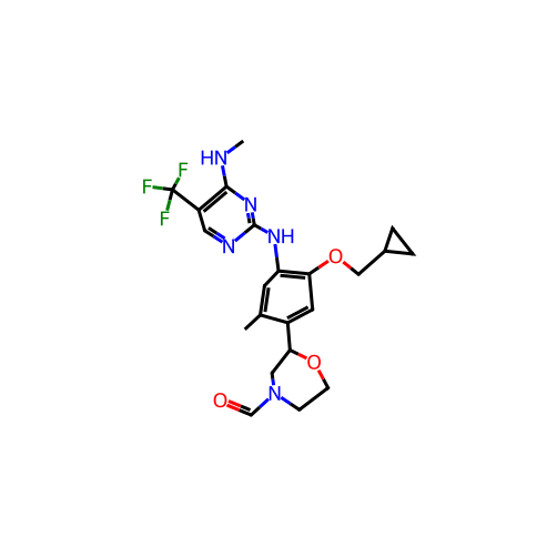 CNc1nc(Nc2cc(C)c(C3CN(C=O)CCO3)cc2OCC2CC2)ncc1C(F)(F)F